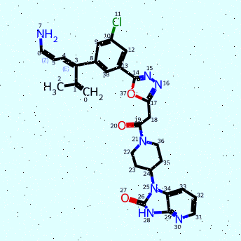 C=C(C)/C(=C\C=C/N)c1cc(Cl)cc(-c2nnc(CC(=O)N3CCC(n4c(=O)[nH]c5ncccc54)CC3)o2)c1